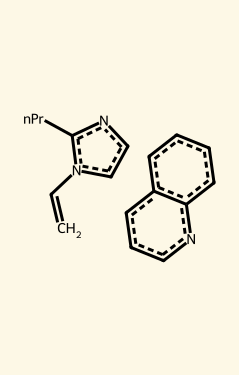 C=Cn1ccnc1CCC.c1ccc2ncccc2c1